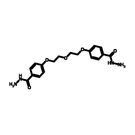 NNC(=O)c1ccc(OCCOCCOc2ccc(C(=O)NN)cc2)cc1